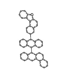 c1ccc2c(-c3c4ccccc4c(-c4ccc5c(ccc6oc7ccccc7c65)c4)c4ccccc34)c3ccc4ccccc4c3cc2c1